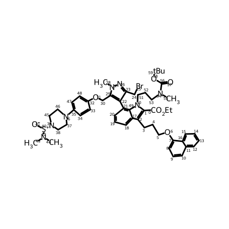 CCOC(=O)c1c(CCCOc2cccc3ccccc23)c2cccc(-c3c(CBr)nn(C)c3COc3ccc(N4CCN([S+]([O-])N(C)C)CC4)cc3)c2n1CCCN(C)C(=O)OC(C)(C)C